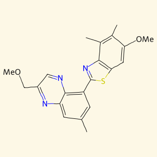 COCc1cnc2c(-c3nc4c(C)c(C)c(OC)cc4s3)cc(C)cc2n1